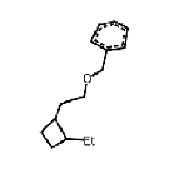 CCC1CCC1CCOCc1ccccc1